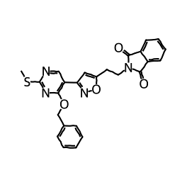 CSc1ncc(-c2cc(CCN3C(=O)c4ccccc4C3=O)on2)c(OCc2ccccc2)n1